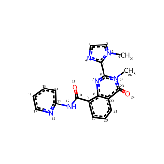 Cn1ccnc1-c1nc2c(C(=O)Nc3ccccn3)cccc2c(=O)n1C